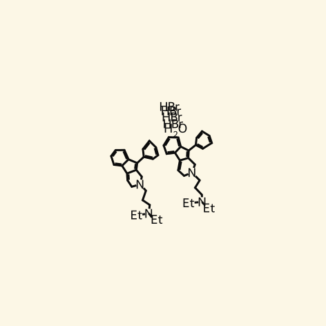 Br.Br.Br.Br.CCN(CC)CCCN1CC=C2C(=C(c3ccccc3)c3ccccc32)C1.CCN(CC)CCCN1CC=C2C(=C(c3ccccc3)c3ccccc32)C1.O